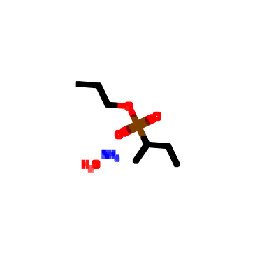 CCCOS(=O)(=O)C(C)CC.N.O